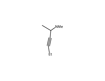 [CH2]CC#CC(C)NC